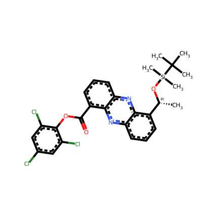 C[C@@H](O[Si](C)(C)C(C)(C)C)c1cccc2nc3c(C(=O)Oc4c(Cl)cc(Cl)cc4Cl)cccc3nc12